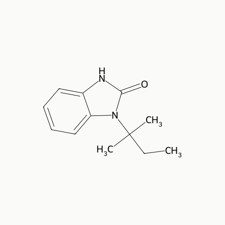 CCC(C)(C)n1c(=O)[nH]c2ccccc21